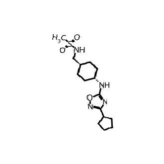 CS(=O)(=O)NC[C@H]1CC[C@H](Nc2nc(C3CCCC3)no2)CC1